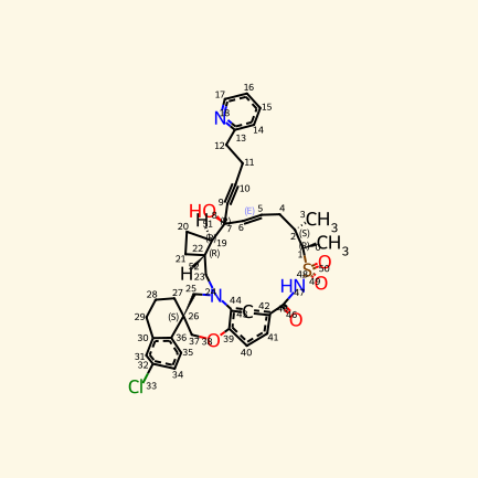 C[C@@H]1[C@@H](C)C/C=C/[C@@](O)(C#CCCc2ccccn2)[C@@H]2CC[C@H]2CN2C[C@@]3(CCCc4cc(Cl)ccc43)COc3ccc(cc32)C(=O)NS1(=O)=O